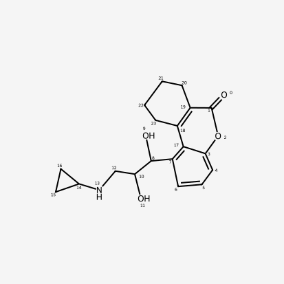 O=c1oc2cccc(C(O)C(O)CNC3CC3)c2c2c1CCCC2